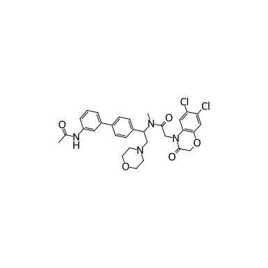 CC(=O)Nc1cccc(-c2ccc(C(CN3CCOCC3)N(C)C(=O)CN3C(=O)COc4cc(Cl)c(Cl)cc43)cc2)c1